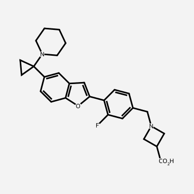 O=C(O)C1CN(Cc2ccc(-c3cc4cc(C5(N6CCCCC6)CC5)ccc4o3)c(F)c2)C1